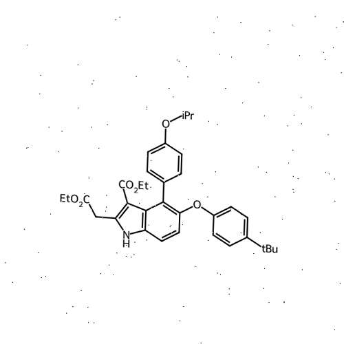 CCOC(=O)Cc1[nH]c2ccc(Oc3ccc(C(C)(C)C)cc3)c(-c3ccc(OC(C)C)cc3)c2c1C(=O)OCC